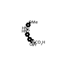 COc1ccc(NC(=S)Nc2ccc(-c3ccc4c(c3)CN([C@H](C(=O)O)C(C)C)C4=O)cc2)cc1